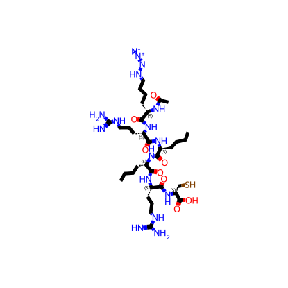 CCCC[C@H](NC(=O)[C@H](CCCNC(=N)N)NC(=O)[C@H](CCCCNN=[N+]=[N-])NC(C)=O)C(=O)N[C@@H](CCCC)C(=O)N[C@@H](CCCNC(=N)N)C(=O)N[C@H](CS)C(=O)O